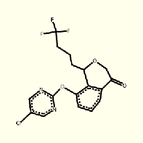 O=C1COC(CCCC(F)(F)F)c2c(Oc3ncc(Cl)cn3)cccc21